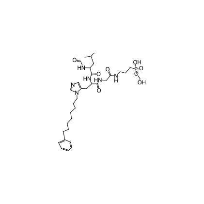 CC(C)CC(NC=O)C(=O)NC(Cc1cncn1CCCCCCCCc1ccccc1)C(=O)NCC(=O)NCCCP(=O)(O)OCO